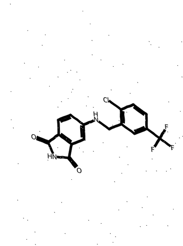 O=C1NC(=O)c2cc(NCc3cc(C(F)(F)F)ccc3Cl)ccc21